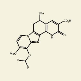 COc1ccn2c3c(nc2c1OC(F)F)-c1[nH]c(=O)c(C(=O)O)cc1C(C(C)(C)C)C3